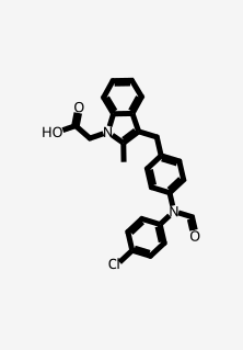 Cc1c(Cc2ccc(N(C=O)c3ccc(Cl)cc3)cc2)c2ccccc2n1CC(=O)O